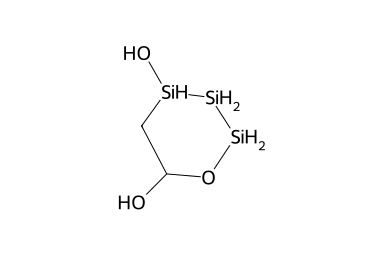 OC1C[SiH](O)[SiH2][SiH2]O1